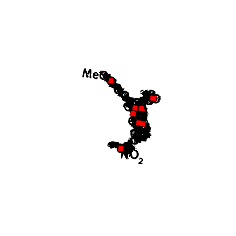 C#CCOc1cc(COC(=O)[C@@]2(C)CC[C@]3(C)CC[C@]4(C)C(=CC(=O)[C@@H]5[C@@]6(C)CC[C@H](OC(=O)CCOCCOCCOCCOC)[C@@](C)(C(=O)OCc7oc(=O)oc7C)[C@@H]6CC[C@]54C)[C@@H]3C2)ccc1[N+](=O)[O-]